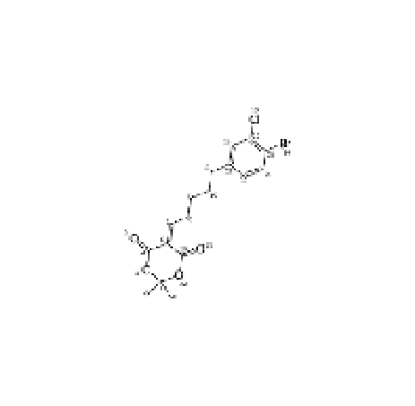 CC1(C)OC(=O)C(=CCCCCc2ccc(Br)c(Cl)c2)C(=O)O1